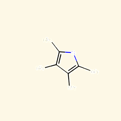 CCCC1=C(CCC)C(CCC)=C(CCC)[N]1